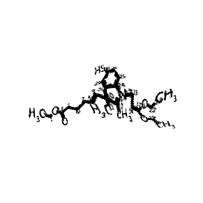 CCOC(=O)CCCCCC1(C)C(C)=[N+](CCC(OCC)OCC)c2ccc(S)cc21